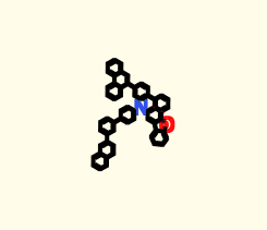 c1ccc(-c2ccc(-c3cc4ccccc4c4ccccc34)cc2N(c2ccc(-c3cccc(-c4ccc5ccccc5c4)c3)cc2)c2ccc3oc4ccccc4c3c2)cc1